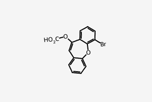 O=C(O)OC1=Cc2ccccc2Oc2c(Br)cccc21